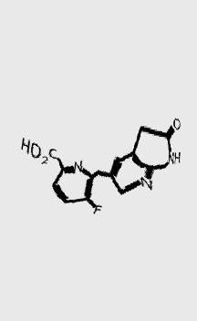 O=C1Cc2cc(-c3nc(C(=O)O)ccc3F)cnc2N1